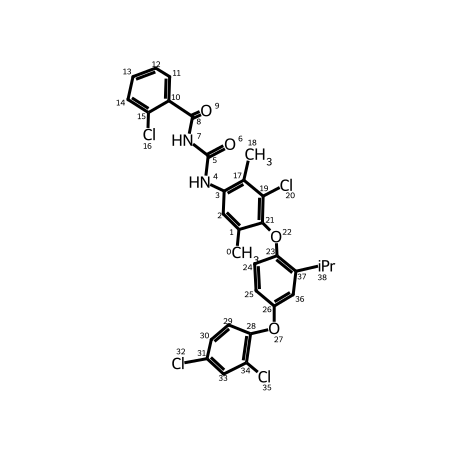 Cc1cc(NC(=O)NC(=O)c2ccccc2Cl)c(C)c(Cl)c1Oc1ccc(Oc2ccc(Cl)cc2Cl)cc1C(C)C